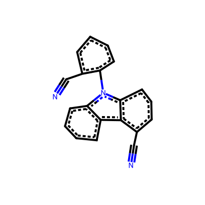 N#Cc1ccccc1-n1c2ccccc2c2c(C#N)cccc21